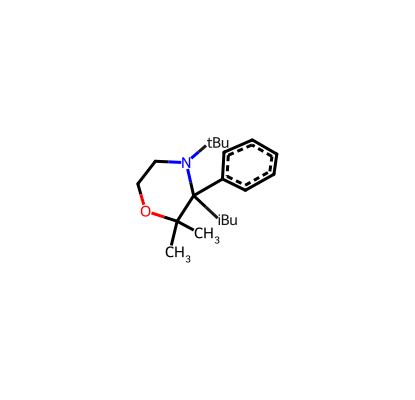 CCC(C)C1(c2ccccc2)N(C(C)(C)C)CCOC1(C)C